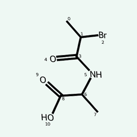 CC(Br)C(=O)NC(C)C(=O)O